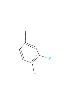 [CH2]c1ccc(C)cc1F